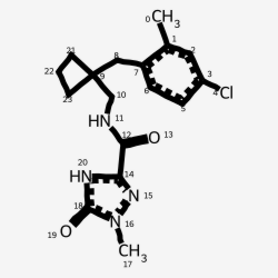 Cc1cc(Cl)ccc1CC1(CNC(=O)c2nn(C)c(=O)[nH]2)CCC1